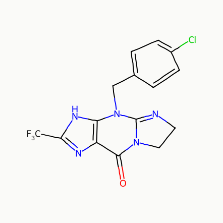 O=C1c2nc(C(F)(F)F)[nH]c2N(Cc2ccc(Cl)cc2)C2=NCCN12